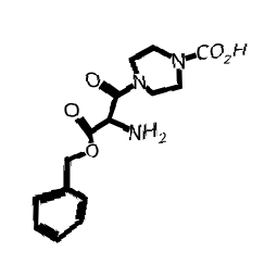 NC(C(=O)OCc1ccccc1)C(=O)N1CCN(C(=O)O)CC1